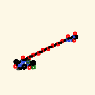 C[C@@H](Cc1ccc(NC(=O)c2c(Cl)cccc2Cl)cc1)NC(=O)C1(CCNC(=O)CCOCCOCCOCCOCCOCCOCCOCCOCCNC(=O)CCN2C(=O)C=CC2=O)CCCC1